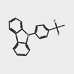 CC(F)(F)c1ccc(-n2c3ccccc3c3ccccc32)cc1